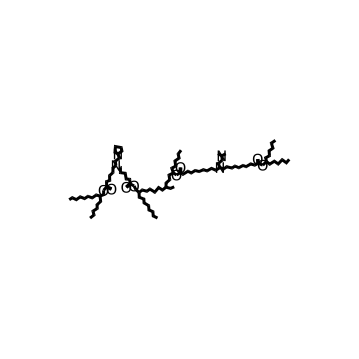 CCCCCCCCC(CCCCCC)COC(=O)CCCCCN(CCCCCC(=O)OCC(CCCCCCCC)CCCCCCC(CC)CCCC(CCCCCC)OC(=O)CCCCCCCCCN(CCCCCCCCCC(=O)OC(CCCCCC)CCCCCC)CCN(C)C)CCN1CCCC1